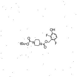 CC(C)(C)OC(=O)N1CCN(C(=O)OCc2c(F)ccc(O)c2F)CC1